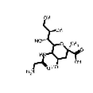 C[C@]1(C(=O)O)C[C@@H](O)C(NC(=O)CN)C([C@H](O)[C@H](O)CO)O1